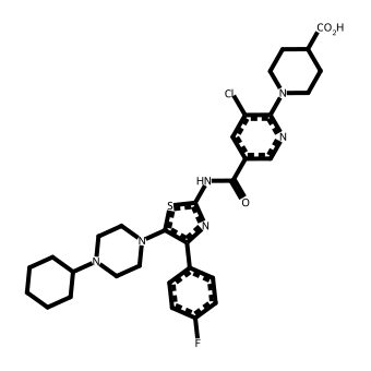 O=C(Nc1nc(-c2ccc(F)cc2)c(N2CCN(C3CCCCC3)CC2)s1)c1cnc(N2CCC(C(=O)O)CC2)c(Cl)c1